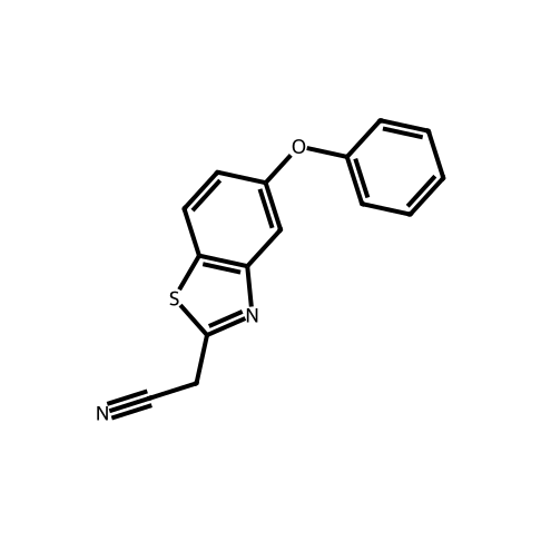 N#CCc1nc2cc(Oc3ccccc3)ccc2s1